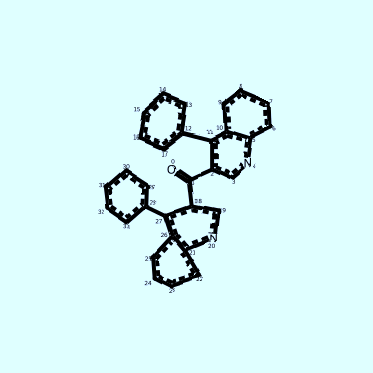 O=C(c1cnc2ccccc2c1-c1ccccc1)c1cnc2ccccc2c1-c1ccccc1